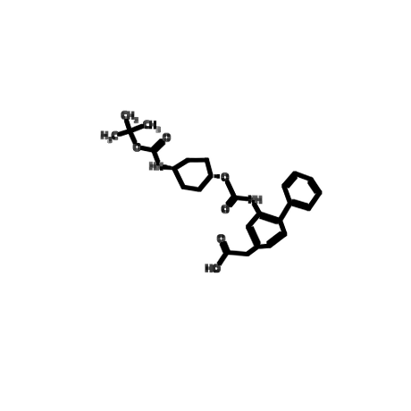 CC(C)(C)OC(=O)N[C@H]1CC[C@H](OC(=O)Nc2cc(CC(=O)O)ccc2-c2ccccc2)CC1